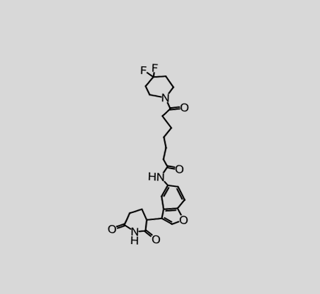 O=C1CCC(c2coc3ccc(NC(=O)CCCCCC(=O)N4CCC(F)(F)CC4)cc23)C(=O)N1